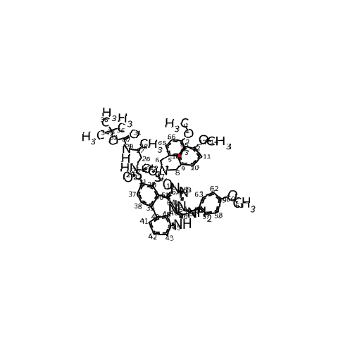 COc1ccc(CN(Cc2ccc(OC)cc2)S(=O)(=O)c2c(S(=O)(=O)NCC(C)NC(=O)OC(C)(C)C)ccc(-c3cccc4[nH]c(N)nc34)c2-c2nnn(Cc3ccc(OC)cc3)n2)cc1